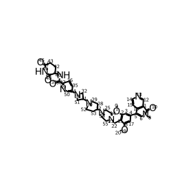 COc1cc(-c2cn(C)c(=O)c3cnccc23)cc(OC)c1CN1CCN(C2CCN(C3CN(c4ccc(C(=O)NC5CCC(=O)NC5=O)nc4)C3)CC2)CC1